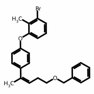 CC(=CCCOCc1ccccc1)c1ccc(Oc2cccc(Br)c2C)cc1